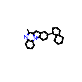 Cc1nc2ccccc2n2c1cc1cc(-c3cccc4ccccc34)ccc12